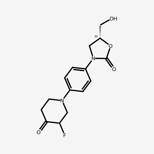 O=C1CCN(c2ccc(N3C[C@H](CO)OC3=O)cc2)CC1F